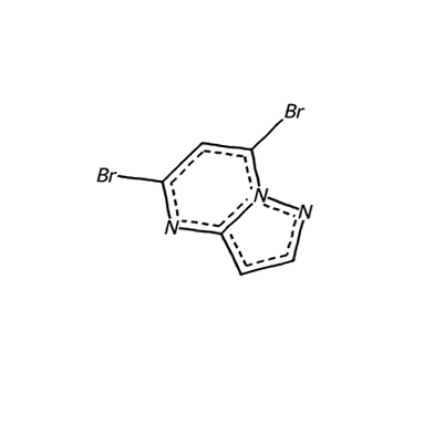 Brc1cc(Br)n2nccc2n1